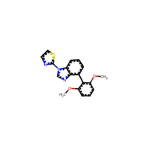 COc1cccc(OC)c1-c1cccc2c1ncn2-c1nccs1